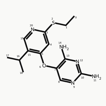 CCSc1cc(Oc2cnc(N)nc2N)c(C(C)C)cn1